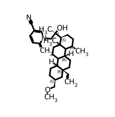 C=C[C@]12CC[C@@H]3C(CC[C@@]4(C)C3[C@H](C)CC[C@@H]4[C@](C)(O)CN3C=C(C#N)C=CC3=C)[C@H]1CC[C@H](COC)C2